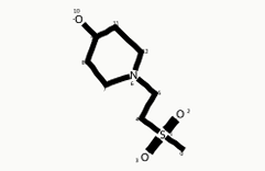 CS(=O)(=O)CCN1CCC([O])CC1